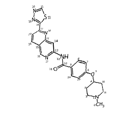 CN1CCC(Oc2ccc(C(=O)Nc3cc4nc(-c5nncs5)ccc4cn3)cc2)CC1